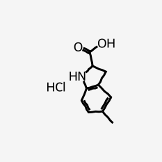 Cc1ccc2c(c1)CC(C(=O)O)N2.Cl